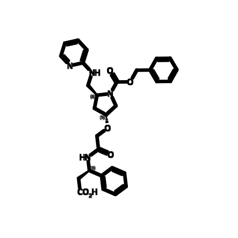 O=C(O)C[C@@H](NC(=O)CO[C@@H]1C[C@@H](CNc2ccccn2)N(C(=O)OCc2ccccc2)C1)c1ccccc1